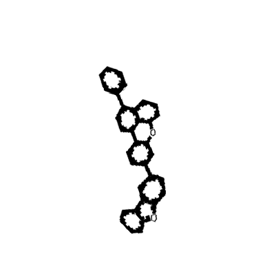 c1ccc(-c2ccc3c4c(cccc24)Oc2cc(-c4ccc5oc6ccccc6c5c4)ccc2-3)cc1